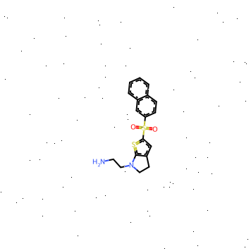 NCCN1CCc2cc(S(=O)(=O)c3ccc4ccccc4c3)sc21